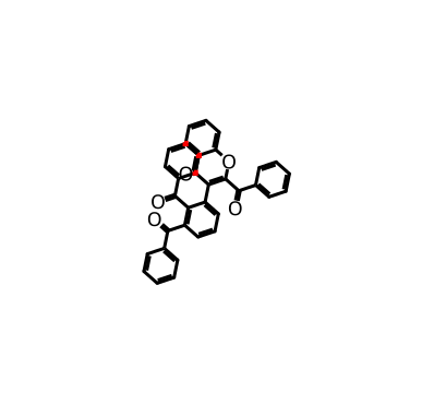 O=C(c1ccccc1)c1cccc(-c2c(C(=O)c3ccccc3)oc3ccccc3c2=O)c1C(=O)c1ccccc1